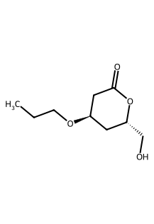 CCCO[C@H]1CC(=O)O[C@H](CO)C1